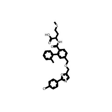 CSCCC(NC(=O)c1ccc(COCc2cnc(-c3ccc(Cl)cc3)o2)cc1-c1ccccc1C)C(=O)O